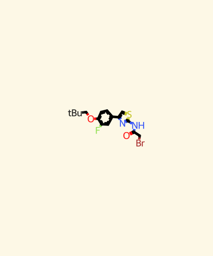 CC(C)(C)COc1ccc(-c2csc(NC(=O)CBr)n2)cc1F